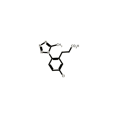 Cc1nnnn1-c1ccc(Cl)cc1CCC(=O)O